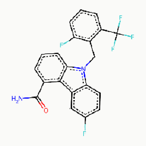 NC(=O)c1cccc2c1c1[c]c(F)ccc1n2Cc1c(F)cccc1C(F)(F)F